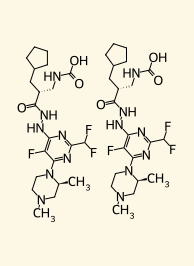 C[C@H]1CN(C)CCN1c1nc(C(F)F)nc(NNC(=O)[C@@H](CNC(=O)O)CC2CCCC2)c1F.C[C@H]1CN(C)CCN1c1nc(C(F)F)nc(NNC(=O)[C@@H](CNC(=O)O)CC2CCCC2)c1F